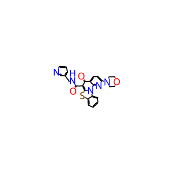 O=C(NCc1cccnc1)c1c(=O)c2ccc(N3CCOCC3)nc2n2c1sc1ccccc12